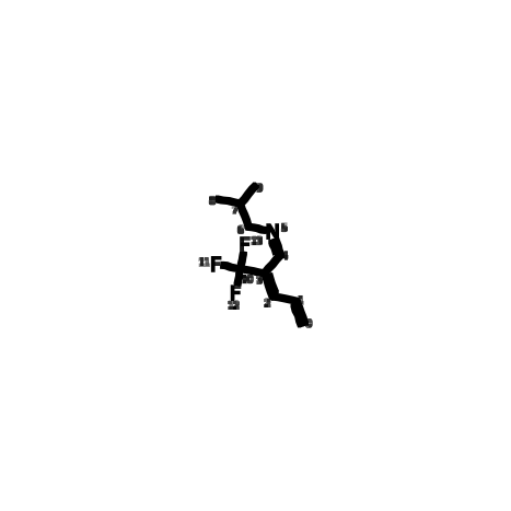 C=C/C=C(\C=N/CC(C)C)C(F)(F)F